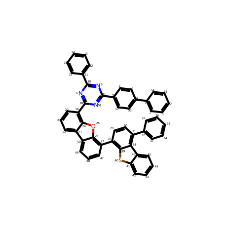 c1ccc(-c2ccc(-c3nc(-c4ccccc4)nc(-c4cccc5c4oc4c(-c6ccc(-c7ccccc7)c7c6sc6ccccc67)cccc45)n3)cc2)cc1